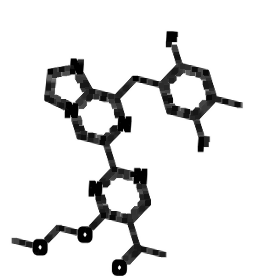 COCOc1nc(-c2cn3ccnc3c(Cc3cc(F)c(C)cc3F)n2)ncc1C(C)=O